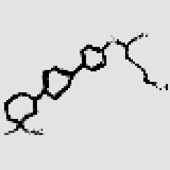 CCCCCCC1(C#N)CCCC(c2ccc(-c3ccc(OC(CCC)CCCO)cc3)cc2)C1